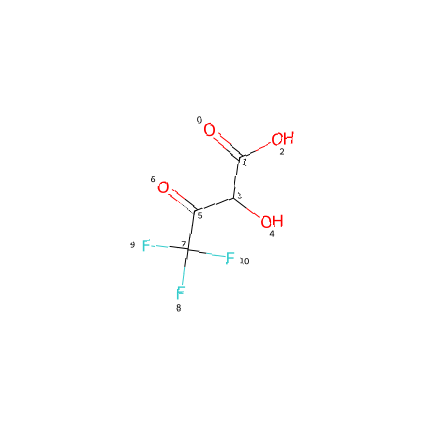 O=C(O)C(O)C(=O)C(F)(F)F